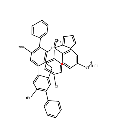 Cl.Cl.[CH2]=[Hf]([C]1=CC=CC1)([c]1ccc(Cl)cc1)([c]1ccc(Cl)cc1)[c]1c2c(cc(C(C)(C)C)c1-c1ccccc1)-c1cc(C(C)(C)C)c(-c3ccccc3)cc1C2